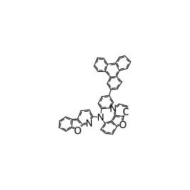 c1ccc2c(c1)oc1nc(N(c3ccc(-c4ccc5c6ccccc6c6ccccc6c5c4)cc3)c3cccc4oc5cccnc5c34)ccc12